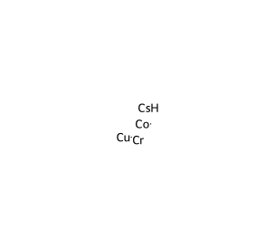 [Co].[Cr].[CsH].[Cu]